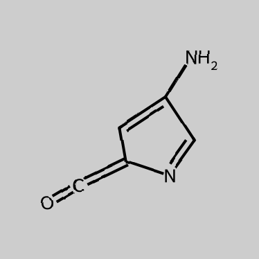 NC1=CC(=C=O)N=C1